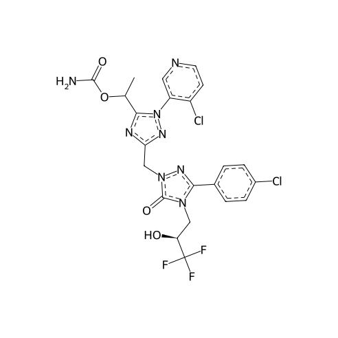 CC(OC(N)=O)c1nc(Cn2nc(-c3ccc(Cl)cc3)n(C[C@H](O)C(F)(F)F)c2=O)nn1-c1cnccc1Cl